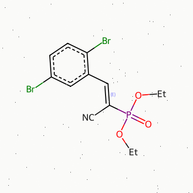 CCOP(=O)(OCC)/C(C#N)=C/c1cc(Br)ccc1Br